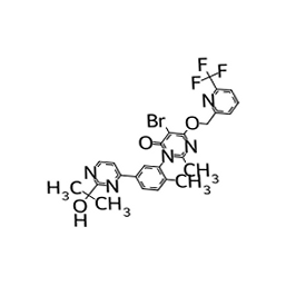 Cc1ccc(-c2ccnc(C(C)(C)O)n2)cc1-n1c(C)nc(OCc2cccc(C(F)(F)F)n2)c(Br)c1=O